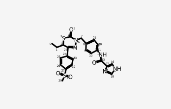 CCC1SC(=O)N(Cc2ccc(NC(=O)c3c[nH]cn3)cc2)N=C1c1ccc(S(C)(=O)=O)cc1